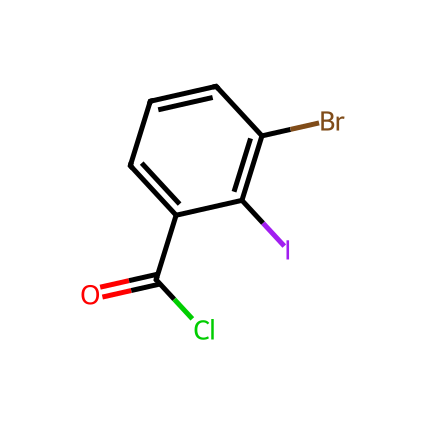 O=C(Cl)c1cccc(Br)c1I